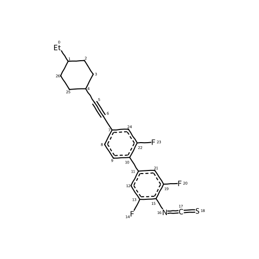 CCC1CCC(C#Cc2ccc(-c3cc(F)c(N=C=S)c(F)c3)c(F)c2)CC1